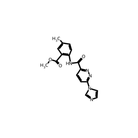 COC(=O)c1cc(C)ccc1NC(=O)c1ccc(-n2ccnc2)nn1